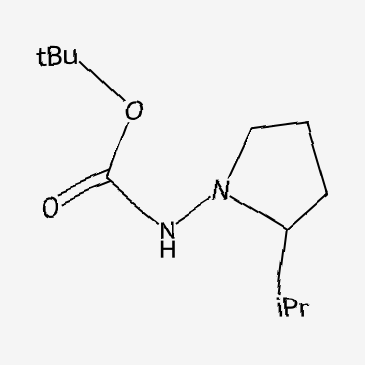 CC(C)C1CCCN1NC(=O)OC(C)(C)C